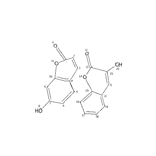 O=c1ccc2ccc(O)cc2o1.O=c1oc2ccccc2cc1O